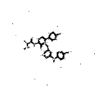 CN[C@@H](C)C(=O)Nc1ncc(-c2ccc(F)cc2)n(Cc2cncc(N(C)c3ccc(F)cc3)c2)c1=O